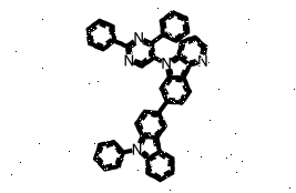 c1ccc(-c2ncc(-n3c4cc(-c5ccc6c(c5)c5ccccc5n6-c5ccccc5)ccc4c4ncccc43)c(-c3ccccc3)n2)cc1